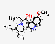 C=C[C@H]1CN(C(CC)[C@H](O)c2ccnc3ccc(OC)cc23)CCC1C